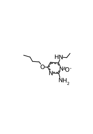 CCCCOc1cc(NCC)[n+]([O-])c(N)n1